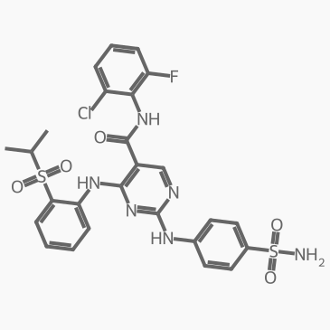 CC(C)S(=O)(=O)c1ccccc1Nc1nc(Nc2ccc(S(N)(=O)=O)cc2)ncc1C(=O)Nc1c(F)cccc1Cl